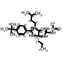 CCC[C@](NC(=N)N[N+](=O)[O-])(NC(=O)c1ccc(C(C)(C)C)cc1)C(=O)N[CH]CC(C)C